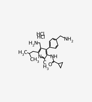 Cc1nc(CC(C)C)c(CN)c(-c2ccc(CN)cc2)c1NC(=O)C1CC1.Cl.Cl